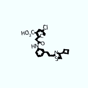 O=C(Cc1ccc(Cl)cc1C(=O)O)Nc1cccc(/C=C/c2nc(C3CCC3)cs2)c1